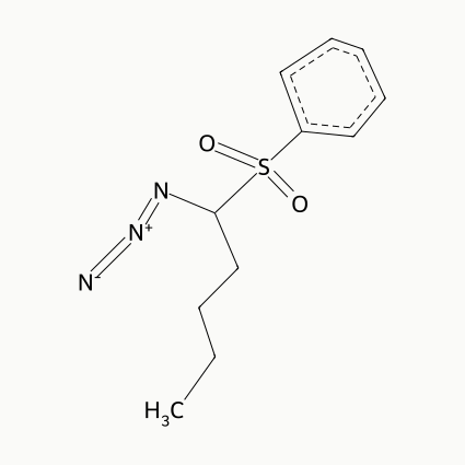 CCCCC(N=[N+]=[N-])S(=O)(=O)c1ccccc1